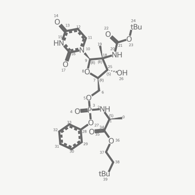 C[C@H](NP(=O)(OC[C@H]1O[C@@H](n2ccc(=O)[nH]c2=O)[C@](C)(NC(=O)OC(C)(C)C)[C@@H]1O)Oc1ccccc1)C(=O)OCCC(C)(C)C